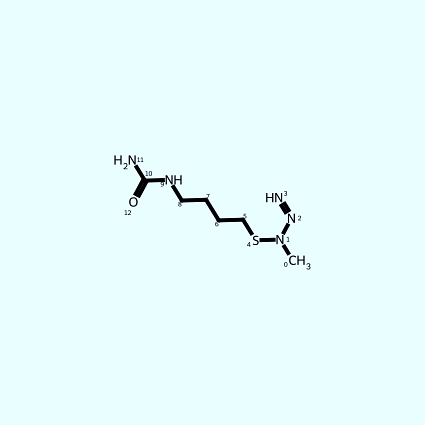 CN(N=N)SCCCCNC(N)=O